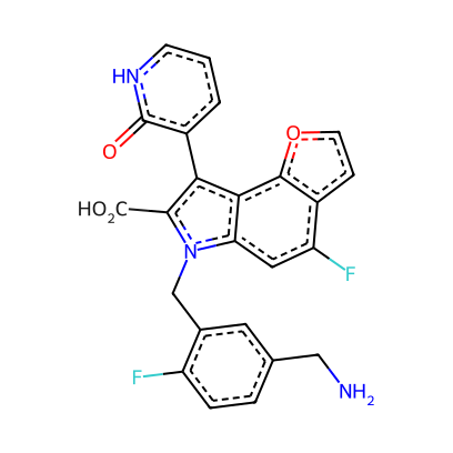 NCc1ccc(F)c(Cn2c(C(=O)O)c(-c3ccc[nH]c3=O)c3c4occc4c(F)cc32)c1